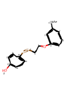 COc1cccc(OCCSc2ccc(O)cc2)c1